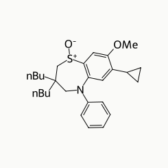 CCCCC1(CCCC)CN(c2ccccc2)c2cc(C3CC3)c(OC)cc2[S+]([O-])C1